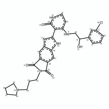 O=C1c2cc3nc(-c4c(NCC(O)c5cccc(Cl)c5)cc[nH]c4=O)[nH]c3cc2C(=O)N1CCCN1CCCC1